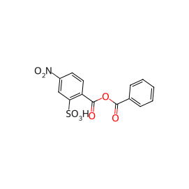 O=C(OC(=O)c1ccc([N+](=O)[O-])cc1S(=O)(=O)O)c1ccccc1